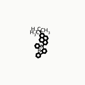 CC(C)(C)c1cc2ccc3ccc(N4c5ccccc5B5c6ccccc6-c6cccc4c65)c4ccc(c1)c2c34